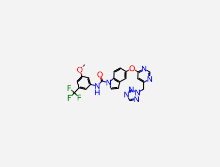 COc1cc(NC(=O)n2ccc3cc(Oc4cc(Cn5ncnn5)ncn4)ccc32)cc(C(F)(F)F)c1